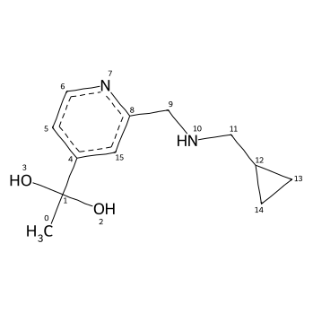 CC(O)(O)c1ccnc(CNCC2CC2)c1